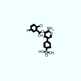 CC(Oc1cc(-c2ccc(P(=O)(O)O)cc2)cnc1N)c1cc(F)ccc1Cl